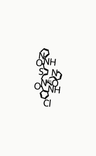 O=C(Nc1ccccn1)c1ccc(CN2C(=O)c3ccc(Cl)cc3NC(=O)[C@H]2Cc2ccccn2)s1